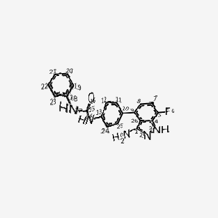 Nc1n[nH]c2c(F)ccc(-c3ccc(NC(=O)Nc4ccccc4)cc3)c12